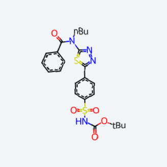 CCCCN(C(=O)c1ccccc1)c1nnc(-c2ccc(S(=O)(=O)NC(=O)OC(C)(C)C)cc2)s1